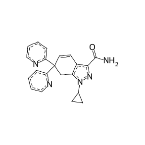 NC(=O)c1nn(C2CC2)c2c1C=CC(c1ccccn1)(c1ccccn1)C2